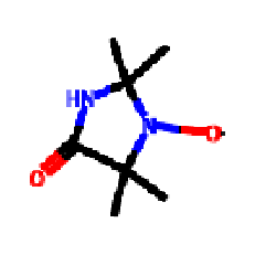 CC1(C)NC(=O)C(C)(C)N1[O]